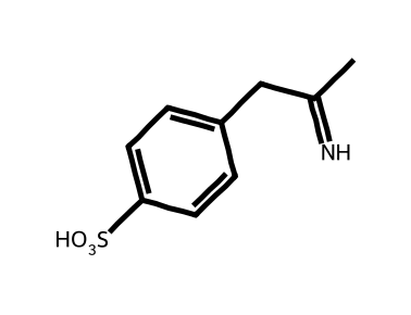 CC(=N)Cc1ccc(S(=O)(=O)O)cc1